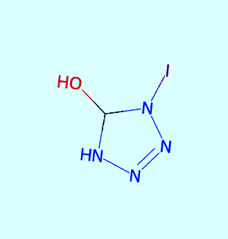 OC1NN=NN1I